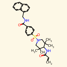 C=CC(=O)NC1C(C)(C)CN(S(=O)(=O)c2ccc(C(=O)NCc3cccc4ccccc34)cc2)CC1(C)C